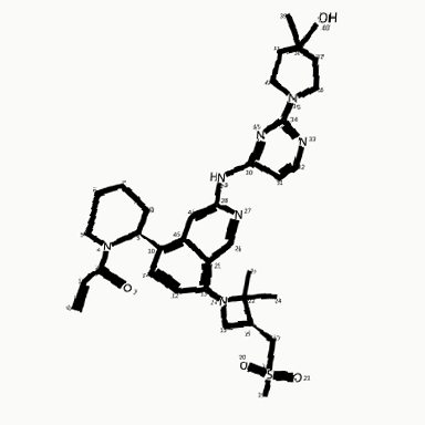 C=CC(=O)N1CCCC[C@H]1c1ccc(N2C[C@H](CS(C)(=O)=O)C2(C)C)c2cnc(Nc3ccnc(N4CCC(C)(O)CC4)n3)cc12